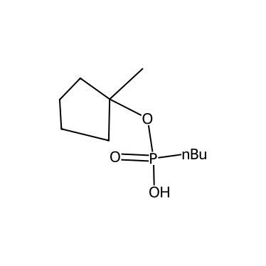 CCCCP(=O)(O)OC1(C)CCCC1